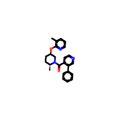 Cc1cccnc1O[C@@H]1CC[C@@H](C)N(C(=O)c2ccncc2-c2ccccc2)C1